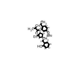 C=C(C)C(=O)OC1(CC)CCCC1.C=Cc1ccc(OC(C)(C)C)cc1.C=Cc1ccccc1O